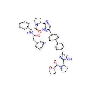 O=C(Cc1cccnc1)N[C@@H](C(=O)N1CCC[C@H]1c1ncc(-c2ccc(-c3ccc(-c4c[nH]c(C5CCCN5C(=O)[C@H]5CCCO5)n4)cc3)cc2)[nH]1)c1ccccc1